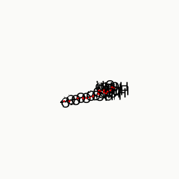 C=CCOCCOCCOCCOCCOCCOCCO[C@@H]1O[C@@H](CO)[C@@H](O[C@@H]2OC(CO)[C@H](O[C@H]3OC(CO)[C@H](O)[C@H](O)C3O)[C@H](O)C2O)C(O)C1O